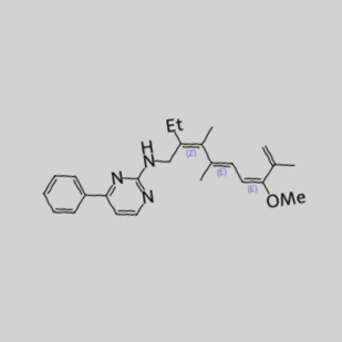 C=C(C)\C(=C/C=C(C)/C(C)=C(/CC)CNc1nccc(-c2ccccc2)n1)OC